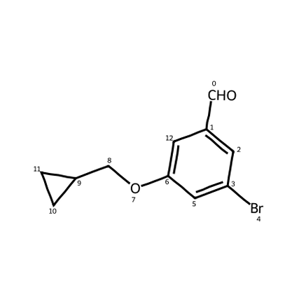 O=Cc1cc(Br)cc(OCC2CC2)c1